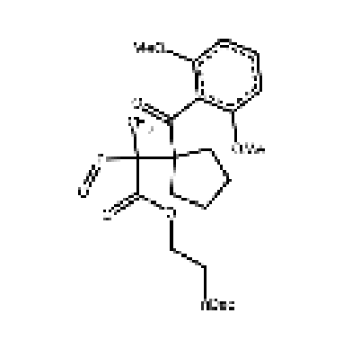 CCCCCCCCCCCCOC(=O)C(C)(P=O)C1(C(=O)c2c(OC)cccc2OC)CCCC1